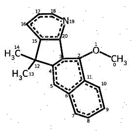 COc1c2c(cc3ccccc13)C(C)(C)c1cccnc1-2